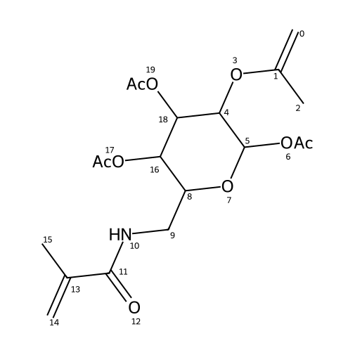 C=C(C)OC1C(OC(C)=O)OC(CNC(=O)C(=C)C)C(OC(C)=O)C1OC(C)=O